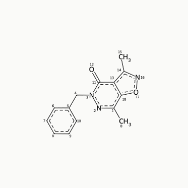 Cc1nn(Cc2ccccc2)c(=O)c2c(C)noc12